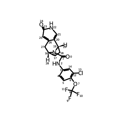 O=C(Nc1ccc(OC(F)(F)F)c(Cl)c1)N1[C@@H]2CC[C@H]1c1c[nH]c(=O)cc1C2